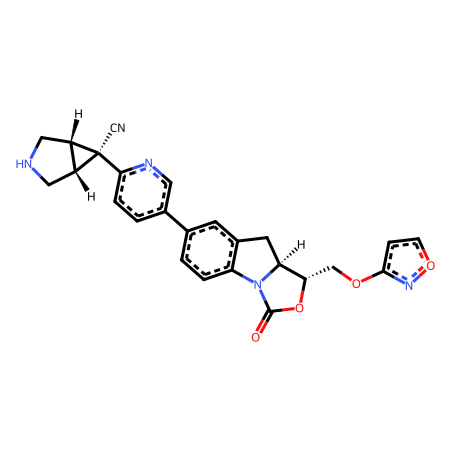 N#C[C@]1(c2ccc(-c3ccc4c(c3)C[C@H]3[C@H](COc5ccon5)OC(=O)N43)cn2)[C@@H]2CNC[C@@H]21